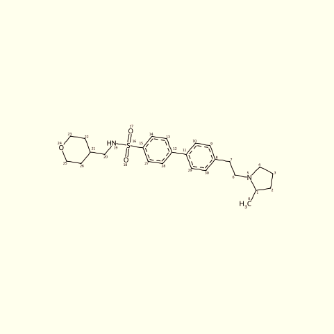 CC1CCCN1CCc1ccc(-c2ccc(S(=O)(=O)NCC3CCOCC3)cc2)cc1